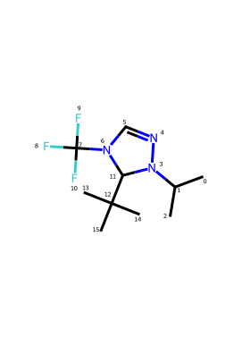 CC(C)N1N=CN(C(F)(F)F)C1C(C)(C)C